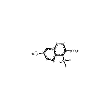 C[Si](C)(C)c1c(C(=O)O)ccc2cc(C(=O)O)ccc12